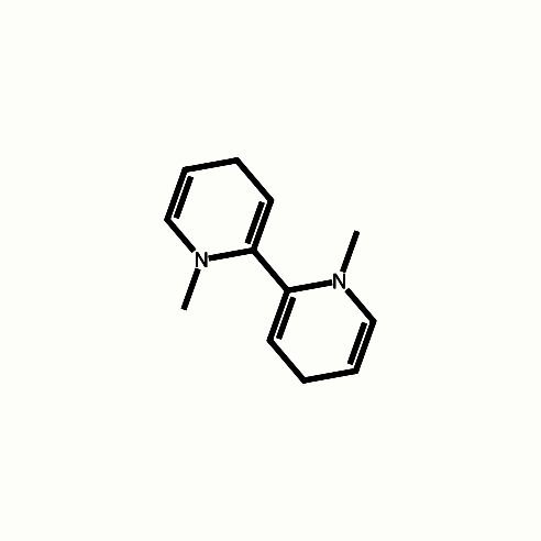 CN1C=CCC=C1C1=CCC=CN1C